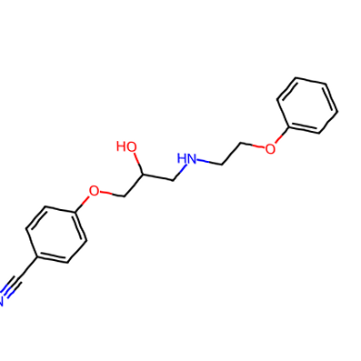 N#Cc1ccc(OCC(O)CNCCOc2ccccc2)cc1